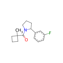 CC1(C(=O)N2CCCC2c2cccc(F)c2)CCC1